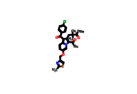 COC(=O)C(C)(C)Cc1c(C(=O)c2ccc(Cl)cc2)c2ccc(OCc3csc(C)n3)cn2c1C(=O)C(C)(C)C